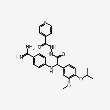 COc1cc(C(Nc2ccc(C(=N)N)cc2)C(=O)NNC(=O)c2ccncc2)ccc1OC(C)C